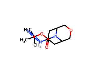 CC(C)(C)OC(=O)N1C2COCC1CC(N=[N+]=[N-])C2